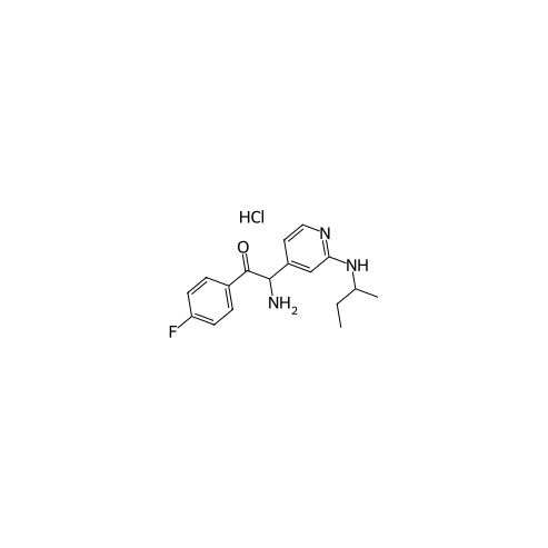 CCC(C)Nc1cc(C(N)C(=O)c2ccc(F)cc2)ccn1.Cl